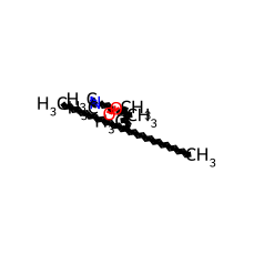 CCCCCCCCCCCCCCCCC(CCCCCCCCCCCCCCCC)CC(C)C(C)C(C)COC(=O)CCCN(C)C